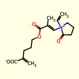 C=C[N+]1(C=C(C)C(=O)OCCCC(=C)C(=O)[O-])CCCC1=O